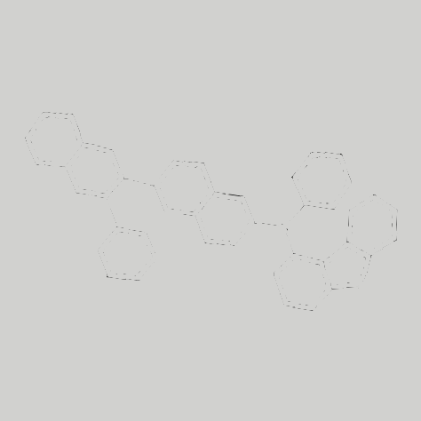 c1ccc(-c2cc3ccccc3cc2-c2ccc3cc(N(c4ccccc4)c4cccc5oc6ccccc6c45)ccc3c2)cc1